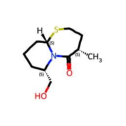 C[C@H]1CCS[C@H]2CCC[C@@H](CO)N2C1=O